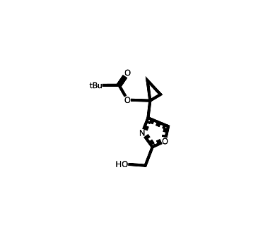 CC(C)(C)C(=O)OC1(c2coc(CO)n2)CC1